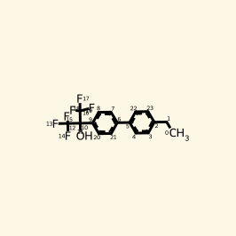 CCc1ccc(-c2ccc(C(O)(C(F)(F)F)C(F)(F)F)cc2)cc1